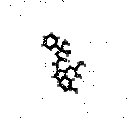 CC(C)Cn1c(NC(=O)CC(C)(O)c2ccccc2)nc2ccc(Cl)nc21